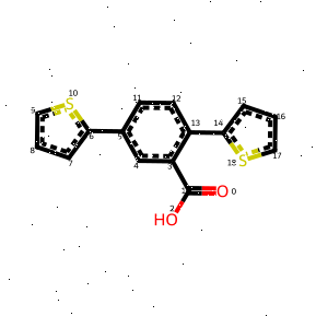 O=C(O)c1cc(-c2cccs2)ccc1-c1cccs1